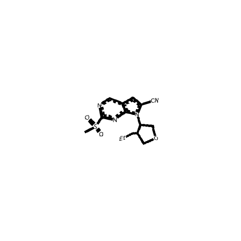 CCC1COCC1n1c(C#N)cc2cnc(S(C)(=O)=O)nc21